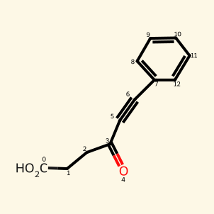 O=C(O)CCC(=O)C#Cc1ccccc1